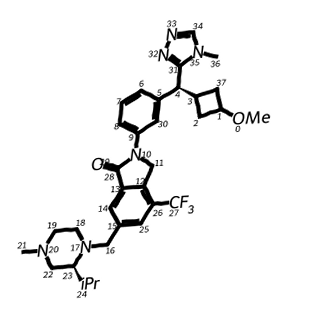 COC1CC([C@@H](c2cccc(N3Cc4c(cc(CN5CCN(C)C[C@@H]5C(C)C)cc4C(F)(F)F)C3=O)c2)c2nncn2C)C1